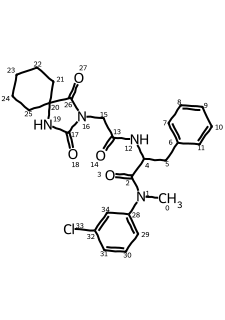 CN(C(=O)C(Cc1ccccc1)NC(=O)CN1C(=O)NC2(CCCCC2)C1=O)c1cccc(Cl)c1